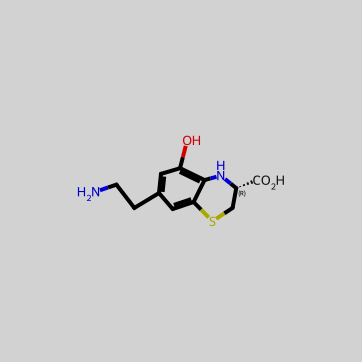 NCCc1cc(O)c2c(c1)SC[C@@H](C(=O)O)N2